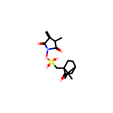 C=C1C(=O)N(OS(=O)(=O)CC23CCC(CC2=O)C3(C)C)C(=O)C1C